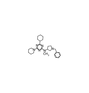 CN(c1nc(C2CCCCC2)nc(N2CCCCC2)n1)C1CCN(Cc2ccccc2)C1